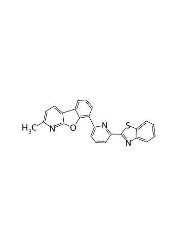 Cc1ccc2c(n1)oc1c(-c3cccc(-c4nc5ccccc5s4)n3)cccc12